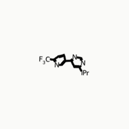 CC(C)c1cc(-c2ccc(C(F)(F)F)nc2)ncn1